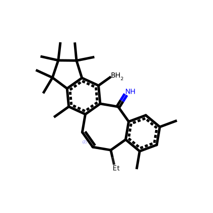 Bc1c2c(c(C)c3c1C(C)(C)C(C)(C)C3(C)C)/C=C\C(CC)c1c(C)cc(C)cc1C2=N